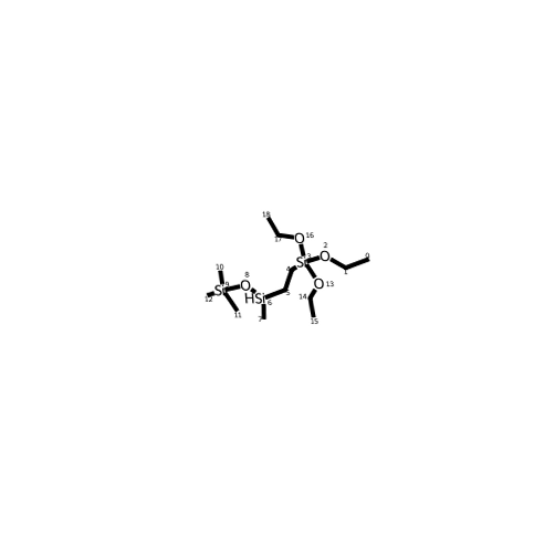 CCO[Si](CC[SiH](C)O[Si](C)(C)C)(OCC)OCC